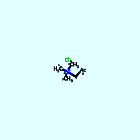 CC(=O)C[N+](C)(C)C.[Cl-]